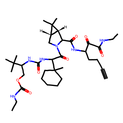 C#CCCC(NC(=O)C1[C@@H]2[C@H](CN1C(=O)C(NC(=O)NC(COC(=O)NCC)C(C)(C)C)C1(C)CCCCC1)C2(C)C)C(=O)C(=O)NCC